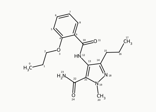 CCCOc1ccccc1C(=O)Nc1c(CCC)nn(C)c1C(N)=O